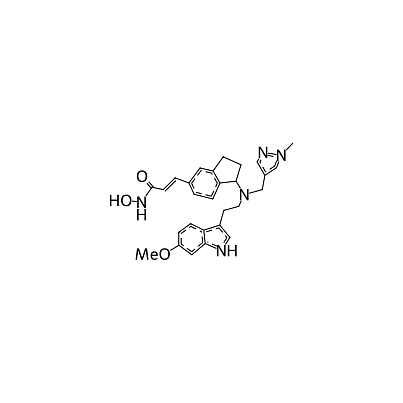 COc1ccc2c(CCN(Cc3cnn(C)c3)C3CCc4cc(C=CC(=O)NO)ccc43)c[nH]c2c1